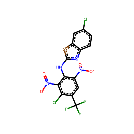 O=[N+]([O-])c1cc(C(F)(F)F)c(Cl)c([N+](=O)[O-])c1Nc1nc2ccc(Cl)cc2s1